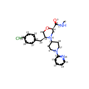 CNC(=O)[C@H]1CN(C2CCN(c3ccccn3)CC2)[C@@H](Cc2ccc(Cl)cc2)CO1